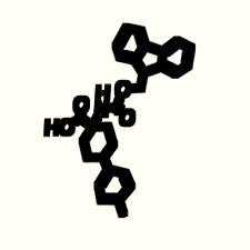 Cc1ccc(C2CCC(NC(=O)OCC3c4ccccc4-c4ccccc43)(C(=O)O)CC2)cc1